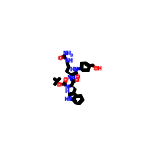 CC(C)(C)OC(=O)N[C@@H](Cc1c[nH]c2ccccc12)C(=O)N[C@@H](CCCNC(N)=O)C(=O)Nc1ccc(CO)cc1